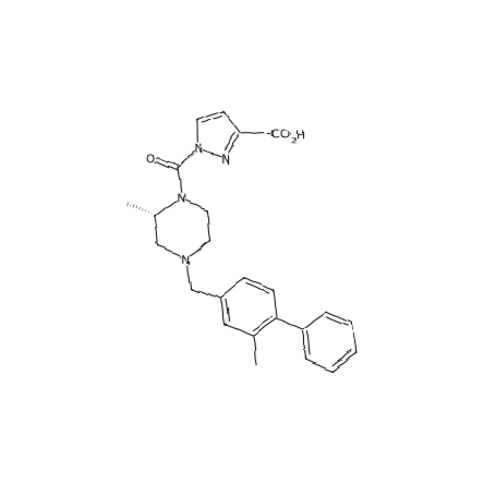 Cc1cc(CN2CCN(C(=O)n3ccc(C(=O)O)n3)[C@@H](C)C2)ccc1-c1ccccc1